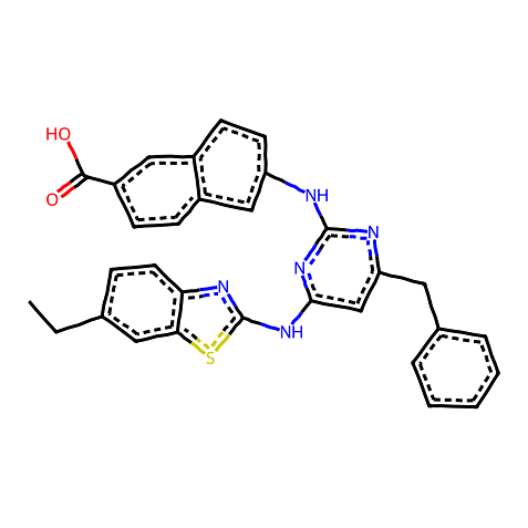 CCc1ccc2nc(Nc3cc(Cc4ccccc4)nc(Nc4ccc5cc(C(=O)O)ccc5c4)n3)sc2c1